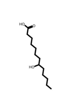 CCCCCC(O)CCCCCCC(=O)O